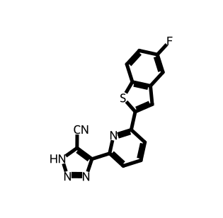 N#Cc1[nH]nnc1-c1cccc(-c2cc3cc(F)ccc3s2)n1